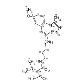 COc1ccc2c(c1)nc(NCCCCNC(=O)[C@H](C(C)C)N(C)C)c1nnc(C)n12